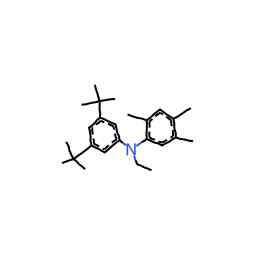 CCN(c1cc(C(C)(C)C)cc(C(C)(C)C)c1)c1cc(C)c(C)cc1C